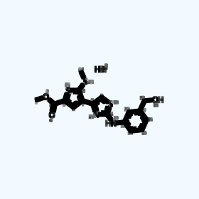 Br.COC(=O)c1cc(-c2csc(Nc3cccc(CO)c3)n2)c(SC)s1